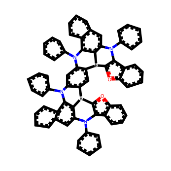 c1ccc(N2c3cc4c(cc3B3c5oc6ccccc6c5N(c5ccccc5)c5cc6ccccc6c2c53)B2c3oc5ccccc5c3N(c3ccccc3)c3cc5ccccc5c(c32)N4c2ccccc2)cc1